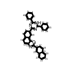 c1ccc(C2=NC(c3ccc4ccc5nc(-c6ccc7ccccc7c6)oc5c4c3)=NC(c3ccccc3)N2)cc1